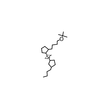 CCCCC1CCC([Si](C)(C)C2CCCC2CCCCOC(C)(C)C)C1